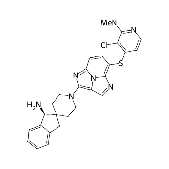 CNc1nccc(Sc2ccc3nc(N4CCC5(CC4)Cc4ccccc4[C@H]5N)c4cnc2n34)c1Cl